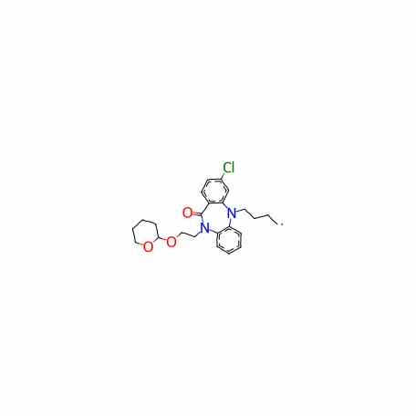 [CH2]CCCN1c2cc(Cl)ccc2C(=O)N(CCOC2CCCCO2)c2ccccc21